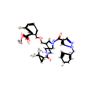 CC(C)(C)OC(=O)c1c(Br)cccc1COCC1CN(C(=O)c2cnn(Cc3ccc(F)cc3)c2)CC12CN(C(=O)[C@H]1CC1(C)C)C2